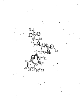 C=CS(=O)(=O)C1CCN(c2nc(OC)nc3c2CCN(c2cccc4cccc(Cl)c24)C3)C1